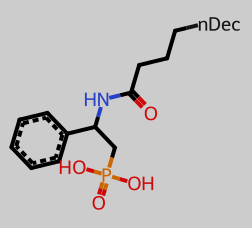 CCCCCCCCCCCCCC(=O)NC(CP(=O)(O)O)c1ccccc1